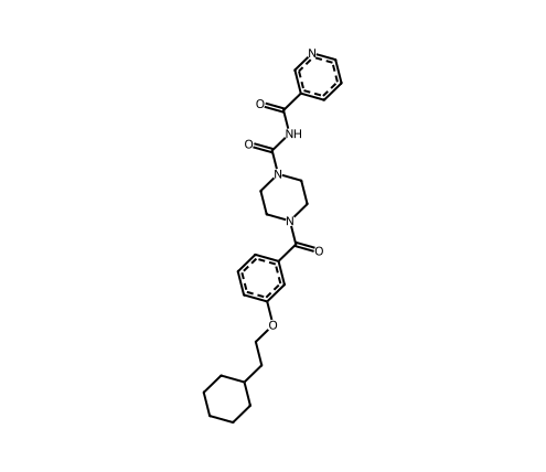 O=C(NC(=O)N1CCN(C(=O)c2cccc(OCCC3CCCCC3)c2)CC1)c1cccnc1